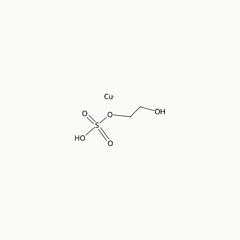 O=S(=O)(O)OCCO.[Cu]